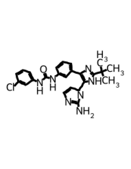 CC(C)(C)c1nc(-c2cccc(NC(=O)Nc3cccc(Cl)c3)c2)c(-c2ccnc(N)n2)[nH]1